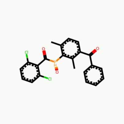 Cc1ccc(C(=O)c2ccccc2)c(C)c1[PH](=O)C(=O)c1c(Cl)cccc1Cl